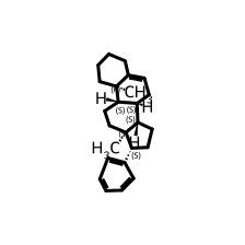 C[C@]12CC[C@H]3[C@@H](CC=C4CCCC[C@@]43C)[C@@H]1CC[C@@H]2c1ccccc1